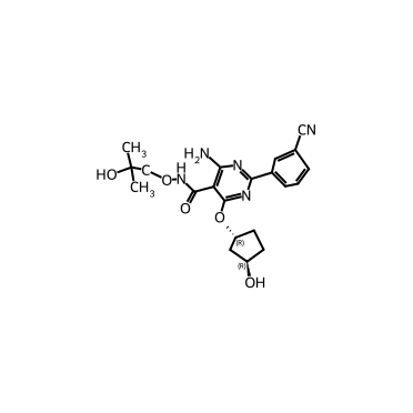 CC(C)(O)CONC(=O)c1c(N)nc(-c2cccc(C#N)c2)nc1O[C@@H]1CC[C@@H](O)C1